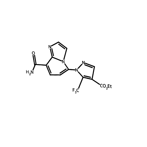 CCOC(=O)c1cnn(-c2ccc(C(N)=O)c3nccn23)c1C(F)(F)F